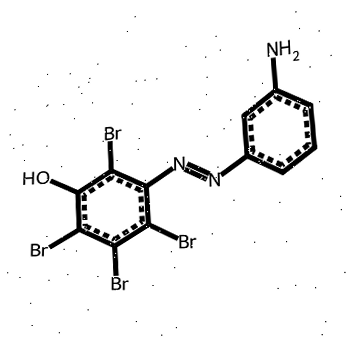 Nc1cccc(N=Nc2c(Br)c(O)c(Br)c(Br)c2Br)c1